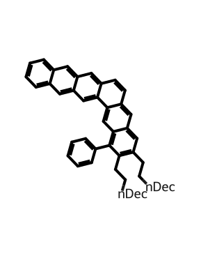 CCCCCCCCCCCCc1cc2cc3ccc4cc5cc6ccccc6cc5cc4c3cc2c(-c2ccccc2)c1CCCCCCCCCCCC